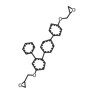 c1ccc(-c2cc(OCC3CO3)ccc2-c2ccc(-c3ccc(OCC4CO4)cc3)cc2)cc1